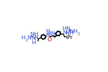 C/C(=N\NC(=N)N)c1ccc(NC(=O)c2cc3cc(C(CC(C)C)=NNC(=N)N)ccc3[nH]2)cc1